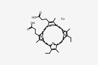 CCC1=C(C)c2cc3[nH]c(cc4nc(cc5[nH]c(cc1n2)c(C)c5CCC(=O)O)C(CCC(=O)O)=C4C)c(C)c3CC.[Cu]